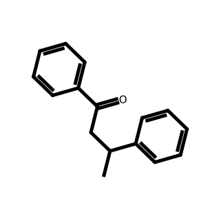 CC(CC(=O)c1ccccc1)c1ccccc1